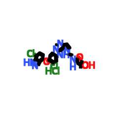 CC(C)(O)CC(=O)NCCn1ccc2ncnc(Nc3ccc(Oc4ccc(Cl)c5[nH]ncc45)c(Cl)c3)c21.Cl